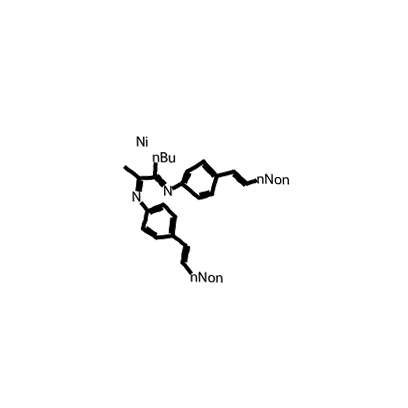 CCCCCCCCCC=Cc1ccc(N=C(C)C(CCCC)=Nc2ccc(C=CCCCCCCCCC)cc2)cc1.[Ni]